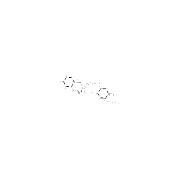 [2H]N(CCc1cc(OC)c(Br)cc1OC)Cc1ccccc1OC